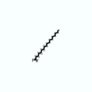 CCCCCCCCCCCCCCCCCC(F)F